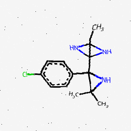 CC1(C)NC1(c1ccc(Cl)cc1)C12NC1(C)N2